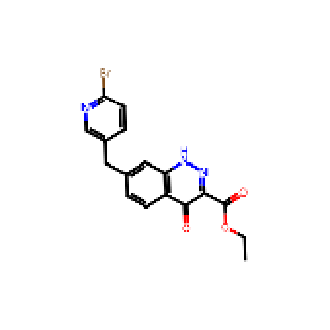 CCOC(=O)c1n[nH]c2cc(Cc3ccc(Br)nc3)ccc2c1=O